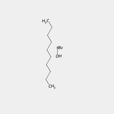 CC(C)(C)O.CCCCCCCCCC